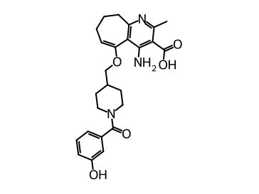 Cc1nc2c(c(N)c1C(=O)O)C(OCC1CCN(C(=O)c3cccc(O)c3)CC1)=CCCC2